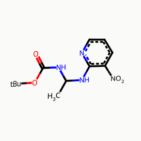 CC(NC(=O)OC(C)(C)C)Nc1ncccc1[N+](=O)[O-]